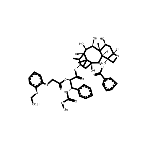 CC(=O)O[C@@]12CO[C@@H]1C[C@H](O)[C@@]1(C)[C@H](O)[C@H](O)[C@H]3C(C)[C@@H](OC(=O)[C@H](OC(=O)COc4ccccc4OCC(=O)O)[C@@H](NC(=O)OC(C)(C)C)c4ccccc4)C[C@@](O)([C@@H](OC(=O)c4ccccc4)[C@H]21)C3(C)C